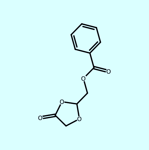 O=C1COC(COC(=O)c2ccccc2)O1